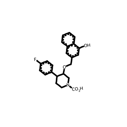 O=C(O)N1CCC(c2ccc(F)cc2)C(OCc2cc(O)c3ccccc3c2)C1